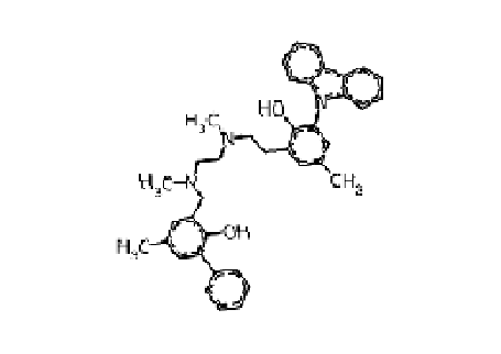 Cc1cc(CN(C)CCN(C)CCc2cc(C)cc(-n3c4ccccc4c4ccccc43)c2O)c(O)c(-c2ccccc2)c1